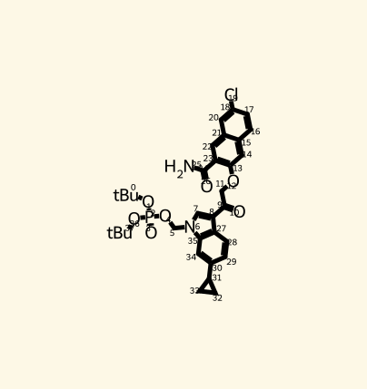 CC(C)(C)OP(=O)(OCn1cc(C(=O)COc2cc3ccc(Cl)cc3cc2C(N)=O)c2ccc(C3CC3)cc21)OC(C)(C)C